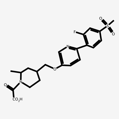 CC1CC(COc2ccc(-c3ccc(S(C)(=O)=O)cc3F)nc2)CCN1C(=O)C(=O)O